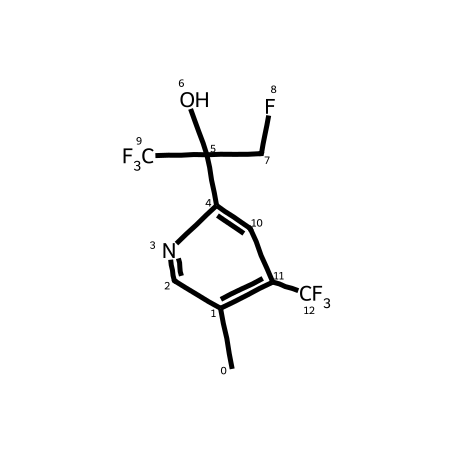 Cc1cnc(C(O)(CF)C(F)(F)F)cc1C(F)(F)F